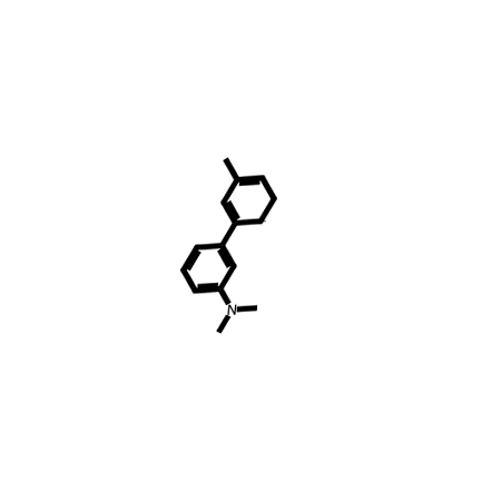 CC1=CC[CH]C(c2cccc(N(C)C)c2)=C1